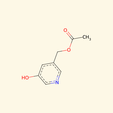 CC(=O)OCc1cncc(O)c1